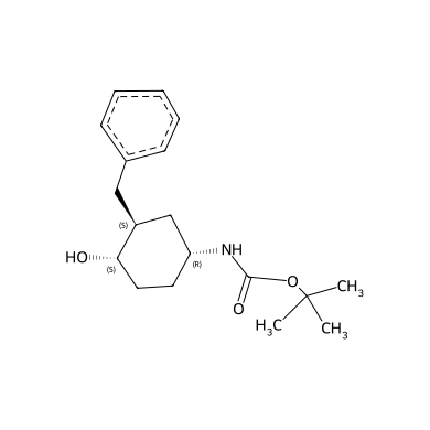 CC(C)(C)OC(=O)N[C@@H]1CC[C@H](O)[C@@H](Cc2ccccc2)C1